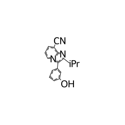 CC(C)c1nc2c(C#N)cccn2c1-c1cccc(O)c1